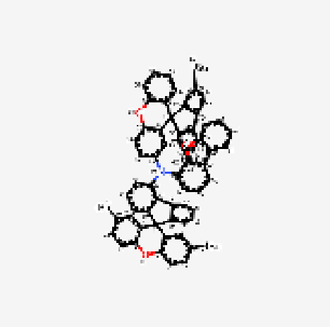 CC(C)(C)c1ccc2c(c1)C1(c3cc(C(C)(C)C)ccc3O2)c2ccccc2-c2c(N(c3ccc4c(c3)C3(c5ccccc5O4)c4cc(C(C)(C)C)ccc4-c4ccc(C(C)(C)C)cc43)c3cccc4c3oc3ccccc34)cccc21